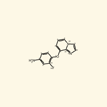 Nc1ccc(Oc2cccn3ccnc23)c(F)c1